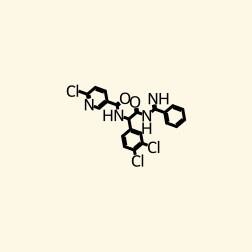 N=C(NC(=O)C(NC(=O)c1ccc(Cl)nc1)c1ccc(Cl)c(Cl)c1)c1ccccc1